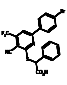 N#Cc1c(C(F)(F)F)cc(-c2ccc(Br)cc2)nc1SC(C(=O)O)c1ccccc1